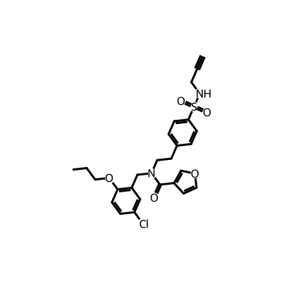 C#CCNS(=O)(=O)c1ccc(CCN(Cc2cc(Cl)ccc2OCCC)C(=O)c2ccoc2)cc1